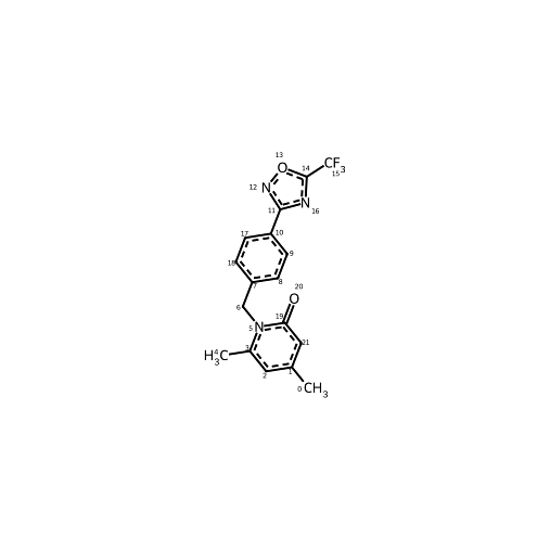 Cc1cc(C)n(Cc2ccc(-c3noc(C(F)(F)F)n3)cc2)c(=O)c1